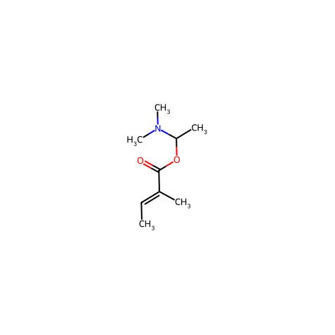 C/C=C(\C)C(=O)OC(C)N(C)C